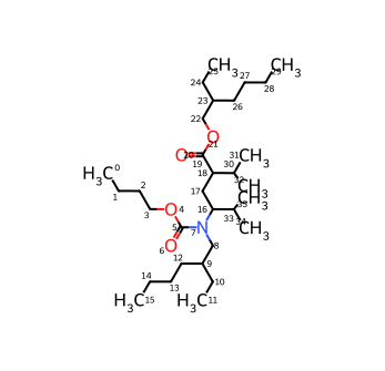 CCCCOC(=O)N(CC(CC)CCCC)C(CC(C(=O)OCC(CC)CCCC)C(C)C)C(C)C